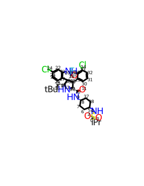 CC(C)S(=O)(=O)N[C@H]1CC[C@H](NC(=O)[C@@H]2N[C@H](CC(C)(C)C)[C@]3(C(=O)Nc4cc(Cl)ccc43)[C@H]2c2cccc(Cl)c2F)CC1